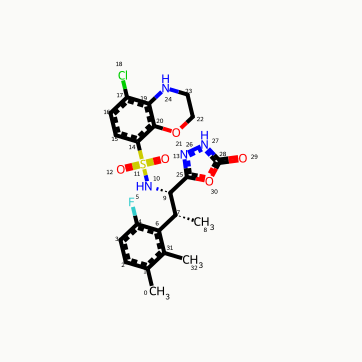 Cc1ccc(F)c([C@@H](C)[C@H](NS(=O)(=O)c2ccc(Cl)c3c2OCCN3)c2n[nH]c(=O)o2)c1C